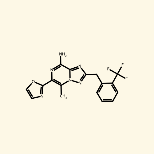 Cc1c(-c2ncco2)nc(N)c2nc(Cc3ccccc3C(F)(F)F)nn12